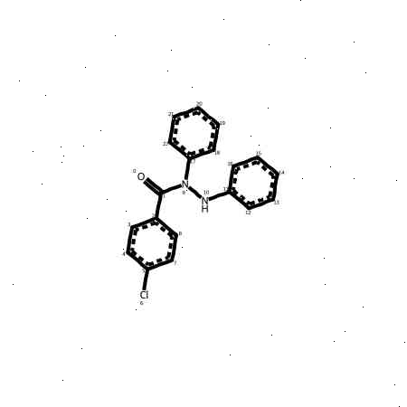 O=C(c1ccc(Cl)cc1)N(Nc1ccccc1)c1ccccc1